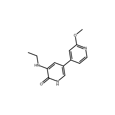 CCNc1cc(-c2ccnc(OC)c2)c[nH]c1=O